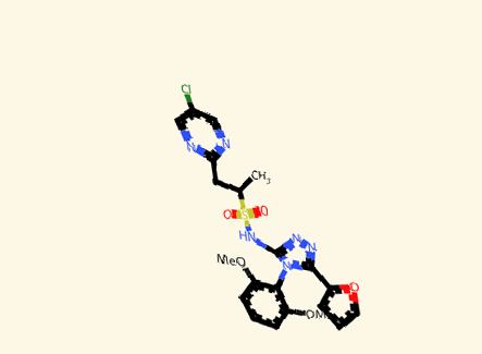 COc1cccc(OC)c1-n1c(NS(=O)(=O)C(C)Cc2ncc(Cl)cn2)nnc1-c1ccco1